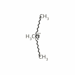 CCCCCCCCCCN1CC[N+](CCCCCCCCCC)=C1C